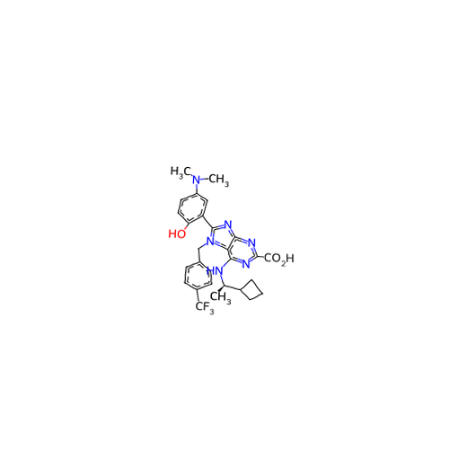 C[C@@H](Nc1nc(C(=O)O)nc2nc(-c3cc(N(C)C)ccc3O)n(Cc3ccc(C(F)(F)F)cc3)c12)C1CCC1